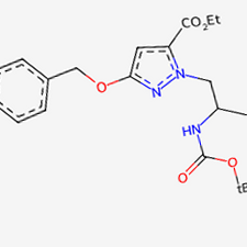 CCOC(=O)c1cc(OCc2ccccc2)nn1CC(C)NC(=O)OC(C)(C)C